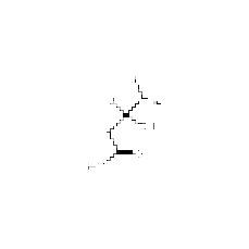 CC(C)C(O)(O)CC(=O)O